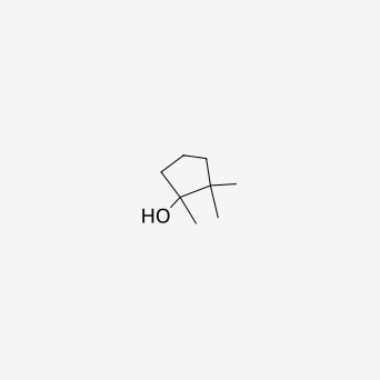 CC1(C)CCCC1(C)O